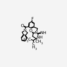 CC(C)[C@]1(C)CC(=O)N(Cc2cc(F)cc(C(=O)N3Cc4ccccc4C3)c2)C(=N)N1